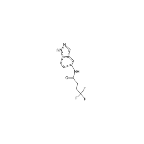 O=C(CCC(F)(F)F)Nc1ccc2[nH]ncc2c1